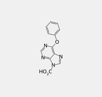 O=C(O)n1cnc2c(Oc3ccccc3)ncnc21